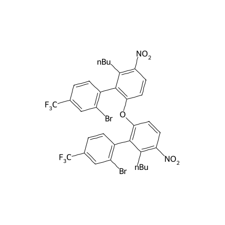 CCCCc1c([N+](=O)[O-])ccc(Oc2ccc([N+](=O)[O-])c(CCCC)c2-c2ccc(C(F)(F)F)cc2Br)c1-c1ccc(C(F)(F)F)cc1Br